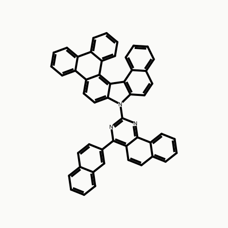 c1ccc2cc(-c3nc(-n4c5ccc6ccccc6c5c5c6c7ccccc7c7ccccc7c6ccc54)nc4c3ccc3ccccc34)ccc2c1